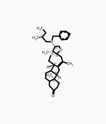 CC[C@H](C)CN(Cc1ccccc1)[C@@H]1CO[C@]2(CC[C@@H]3C(=C(C)C2)C[C@H]2C3CCC3CC(=O)CC[C@@]32C)[C@@H]1C